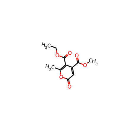 CCOC(=O)c1c(C(=O)OC)cc(=O)oc1C